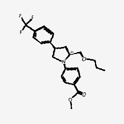 CCCOC[C@@H]1CC(c2ccc(C(F)(F)F)cc2)CN1c1ccc(C(=O)OC)cc1